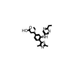 CCc1ncc(Nc2cc([C@@H](CC)CC(=O)O)ccc2-c2sc(C)nc2C)cn1